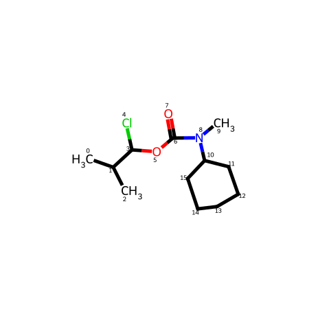 CC(C)C(Cl)OC(=O)N(C)C1CCCCC1